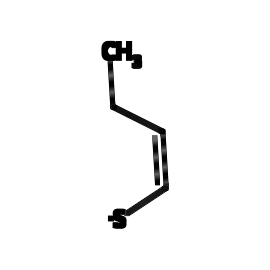 CC/C=C\[S]